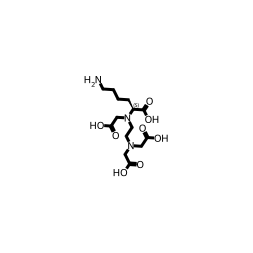 NCCCC[C@@H](C(=O)O)N(CCN(CC(=O)O)CC(=O)O)CC(=O)O